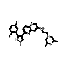 CC1CN(CCNc2cnc3ccc(-c4c[nH]nc4-c4cc(Cl)ccc4F)nc3c2)CC(C)N1